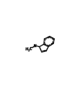 C[N]C1C=Cc2ccccc21